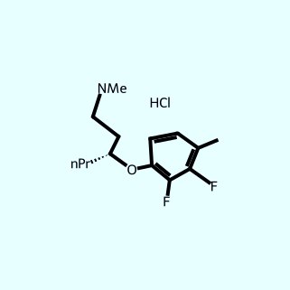 CCC[C@H](CCNC)Oc1ccc(C)c(F)c1F.Cl